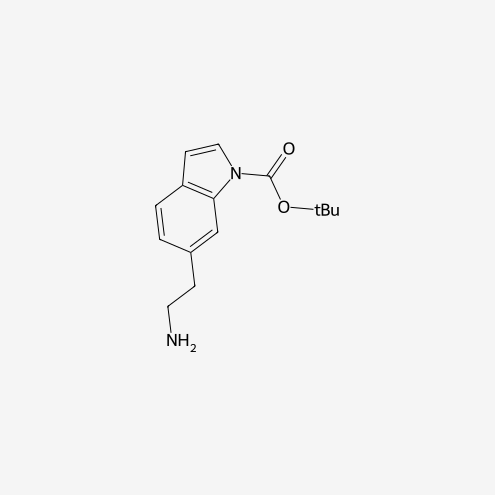 CC(C)(C)OC(=O)n1ccc2ccc(CCN)cc21